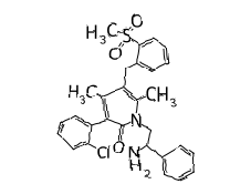 Cc1c(Cc2ccccc2S(C)(=O)=O)c(C)n(CC(N)c2ccccc2)c(=O)c1-c1ccccc1Cl